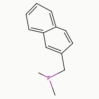 CP(C)Cc1ccc2ccccc2c1